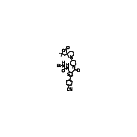 CCNC(=O)Nc1sc(-c2ccc(C#N)cc2)cc1C(=O)N1CCC(N2CCCC3(C2)CC(C)(C)OC3=O)CC1